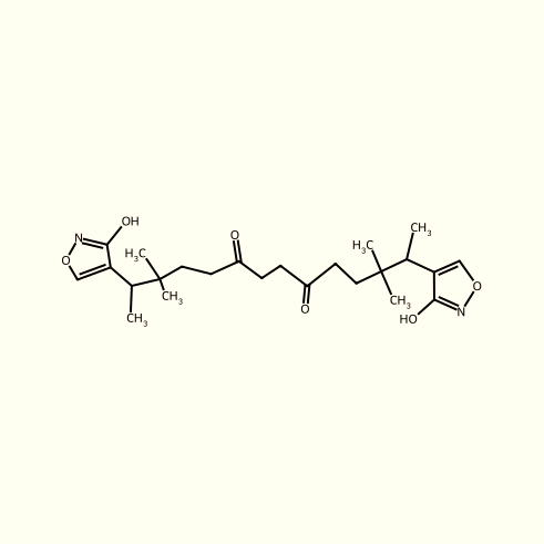 CC(c1conc1O)C(C)(C)CCC(=O)CCC(=O)CCC(C)(C)C(C)c1conc1O